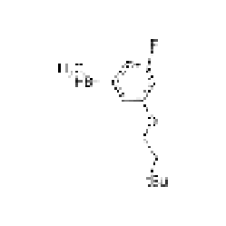 CBc1cc(F)cc(OCCC(C)(C)C)c1